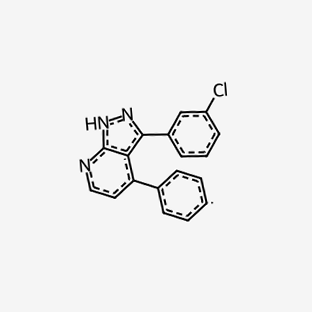 Clc1cccc(-c2n[nH]c3nccc(-c4cc[c]cc4)c23)c1